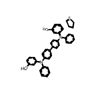 C1CCSC1.Oc1cccc(N(c2ccccc2)c2ccc(-c3ccc(N(c4ccccc4)c4cccc(O)c4)cc3)cc2)c1